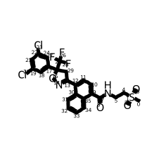 CS(=O)(=O)CCNC(=O)c1ccc(C2=NOC(c3cc(Cl)cc(Cl)c3)(C(F)(F)F)C2)c2ccccc12